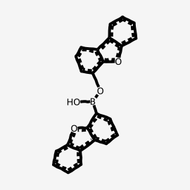 OB(Oc1cccc2c1oc1ccccc12)c1cccc2c1oc1ccccc12